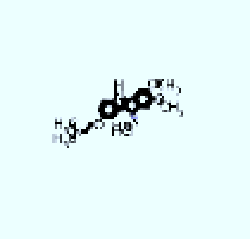 COc1cc2c(cc1OC)-c1[nH]c3ccc(OCCN(C)C)cc3c1/C2=N\O.Cl